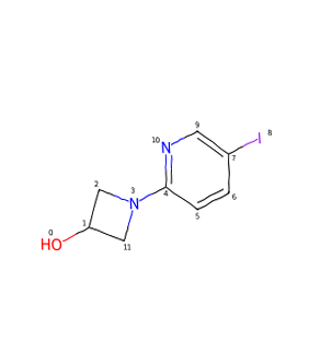 OC1CN(c2ccc(I)cn2)C1